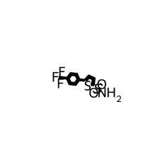 NS(=O)(=O)c1ccc(-c2ccc(C(F)(F)F)cc2)s1